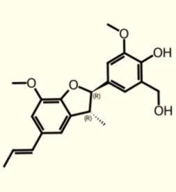 CC=Cc1cc(OC)c2c(c1)[C@@H](C)[C@H](c1cc(CO)c(O)c(OC)c1)O2